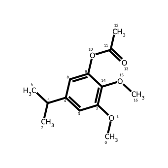 COc1cc(C(C)C)cc(OC(C)=O)c1OC